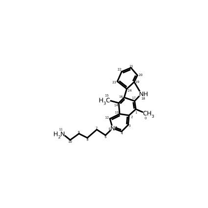 Cc1c2cc[n+](CCCCCN)cc2c(C)c2c1[nH]c1ccccc12